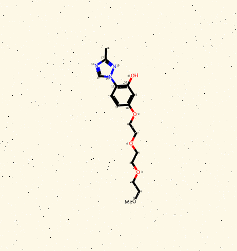 COCCOCCOCCOc1ccc(-n2cnc(C)n2)c(O)c1